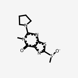 Cn1c(N2CCCC2)nc2sc([S+](C)[O-])nc2c1=O